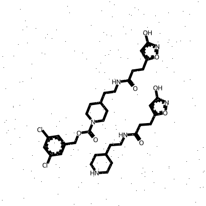 O=C(CCc1cc(O)no1)NCCC1CCN(C(=O)OCc2cc(Cl)cc(Cl)c2)CC1.O=C(CCc1cc(O)no1)NCCC1CCNCC1